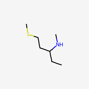 CCC(CCSC)NC